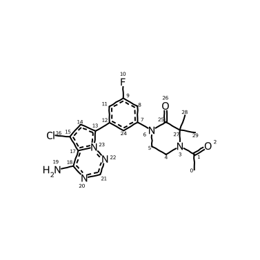 CC(=O)N1CCN(c2cc(F)cc(-c3cc(Cl)c4c(N)ncnn34)c2)C(=O)C1(C)C